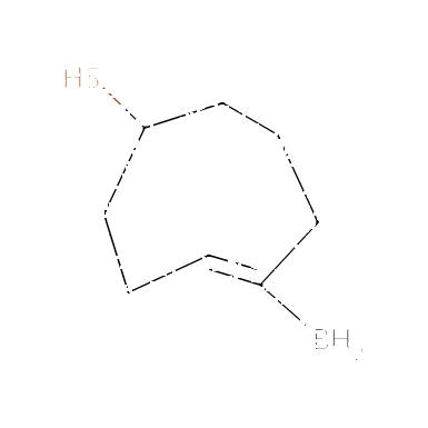 B/C1=C\CCC(S)CCC1